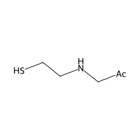 CC(=O)CNCCS